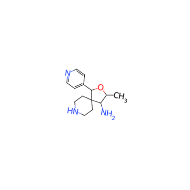 CC1OC(c2ccncc2)C2(CCNCC2)C1N